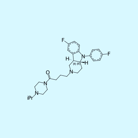 CC(C)N1CCN(C(=O)CCCN2CC[C@@H]3[C@@H](C2)c2cc(F)ccc2N3c2ccc(F)cc2)CC1